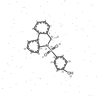 C[C@H]1c2ccccc2-c2ccccc2N1S(=O)(=O)c1ccc(O)cc1